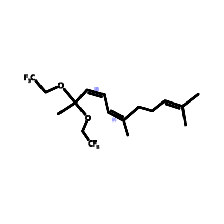 CC(C)=CCC/C(C)=C\C=C/C(C)(OCC(F)(F)F)OCC(F)(F)F